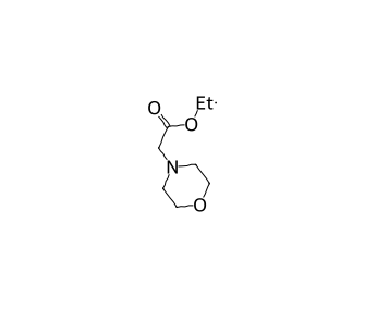 C[CH]OC(=O)CN1CCOCC1